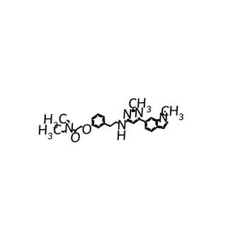 CCN(CC)C(=O)COc1cccc(CCNc2cc(-c3ccc4ccn(C)c4c3)nc(C)n2)c1